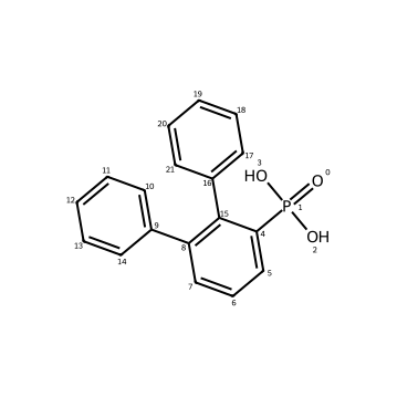 O=P(O)(O)c1cccc(-c2ccccc2)c1-c1ccccc1